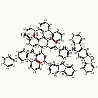 CC(C)(C)c1ccc2c(c1)B1c3cc(-c4cc(-n5c6ccccc6c6ccccc65)cc(-n5c6ccccc6c6cc7oc8ccccc8c7cc65)n4)ccc3N(c3c(-c4ccccc4)cccc3-c3ccccc3)c3cc(C(C)(C)C)cc(c31)N2c1ccc(-c2ccccc2)cc1-c1ccccc1